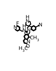 COc1ccc2ccc(C[N+]3(C(=O)NCc4ccnc(F)c4)CC4(CCNCC4)c4cc(C#N)ccc43)c(C)c2n1